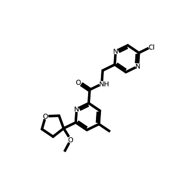 COC1(c2cc(C)cc(C(=O)NCc3cnc(Cl)cn3)n2)CCOC1